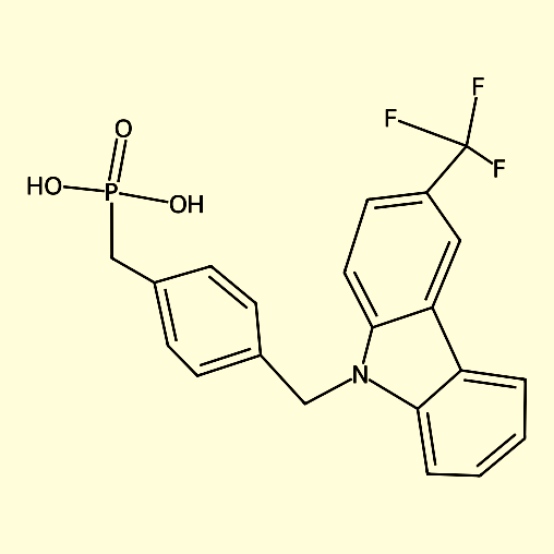 O=P(O)(O)Cc1ccc(Cn2c3ccccc3c3cc(C(F)(F)F)ccc32)cc1